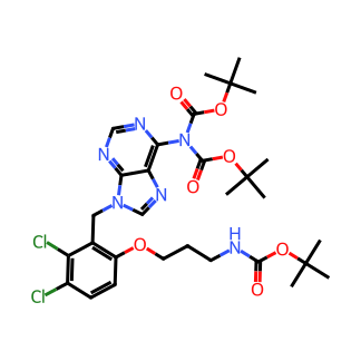 CC(C)(C)OC(=O)NCCCOc1ccc(Cl)c(Cl)c1Cn1cnc2c(N(C(=O)OC(C)(C)C)C(=O)OC(C)(C)C)ncnc21